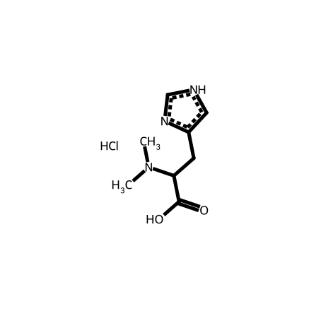 CN(C)C(Cc1c[nH]cn1)C(=O)O.Cl